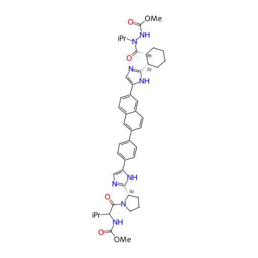 COC(=O)NC(C(=O)N1CCC[C@H]1c1ncc(-c2ccc(-c3ccc4cc(-c5cnc([C@H]6CCCC[C@H]6C(=O)N(NC(=O)OC)C(C)C)[nH]5)ccc4c3)cc2)[nH]1)C(C)C